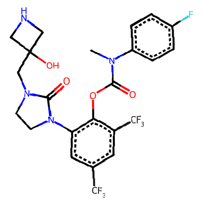 CN(C(=O)Oc1c(N2CCN(CC3(O)CNC3)C2=O)cc(C(F)(F)F)cc1C(F)(F)F)c1ccc(F)cc1